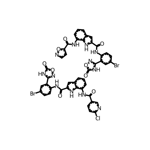 O=C(Nc1ccc(Br)cc1-c1noc(=O)[nH]1)c1cc2cccc(NC(=O)c3ccno3)c2[nH]1.O=C(Nc1cccc2cc(C(=O)Nc3ccc(Br)cc3-c3noc(=O)[nH]3)[nH]c12)c1ccc(Cl)nc1